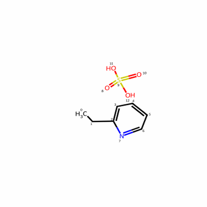 CCc1ccccn1.O=S(=O)(O)O